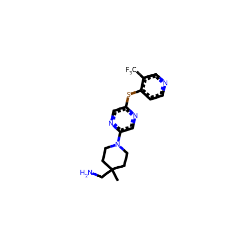 CC1(CN)CCN(c2cnc(Sc3ccncc3C(F)(F)F)cn2)CC1